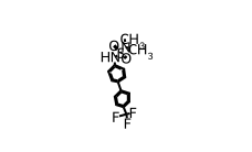 CN(C)S(=O)(=O)Nc1ccc(-c2ccc(C(F)(F)F)cc2)cc1